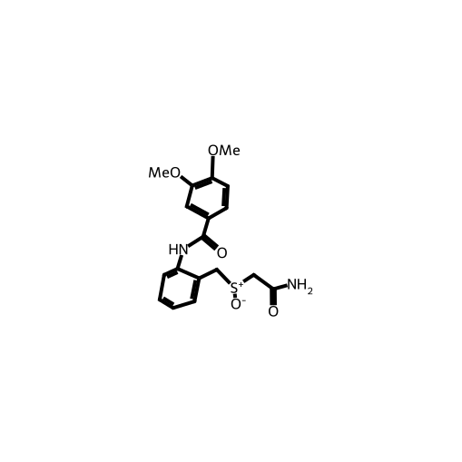 COc1ccc(C(=O)Nc2ccccc2C[S+]([O-])CC(N)=O)cc1OC